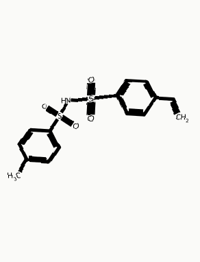 C=Cc1ccc(S(=O)(=O)NS(=O)(=O)c2ccc(C)cc2)cc1